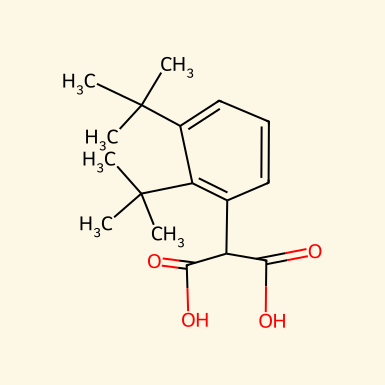 CC(C)(C)c1cccc(C(C(=O)O)C(=O)O)c1C(C)(C)C